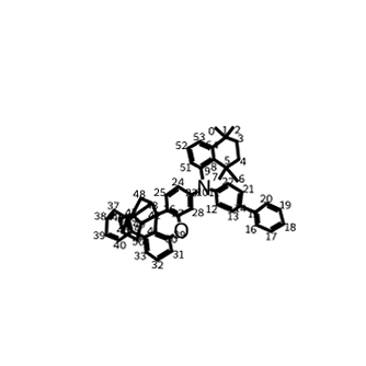 CC1(C)CCC(C)(C)c2c(N(c3ccc(-c4ccccc4)cc3)c3ccc4c(c3)Oc3cccc(-c5ccccc5)c3C43C4CC5CC(C4)C3C5)cccc21